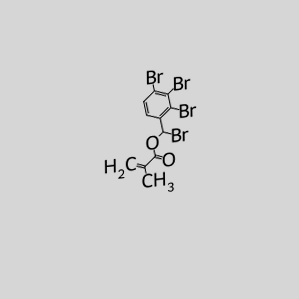 C=C(C)C(=O)OC(Br)c1ccc(Br)c(Br)c1Br